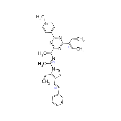 C=C/C(=C\C)c1nc(C(=C)/N=C(\C)n2ccc(/C=C/c3ccccc3)c2C=C)nc(C2=CC[C@@H](C)C=C2)n1